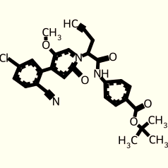 C#CCC(C(=O)Nc1ccc(C(=O)OC(C)(C)C)cc1)n1cc(OC)c(-c2cc(Cl)ccc2C#N)cc1=O